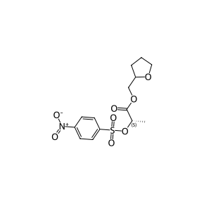 C[C@H](OS(=O)(=O)c1ccc([N+](=O)[O-])cc1)C(=O)OCC1CCCO1